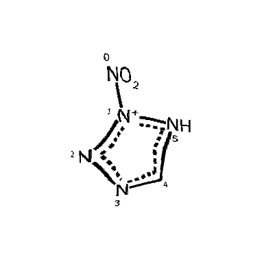 O=[N+]([O-])[n+]1nnc[nH]1